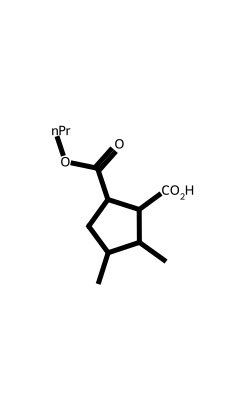 CCCOC(=O)C1CC(C)C(C)C1C(=O)O